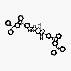 c1ccc(N(c2ccccc2)c2ccc3c(c2)c2ccccc2n3-c2ccc(C3NC4CC5NC(c6ccc(-n7c8ccccc8c8cc(N(c9ccccc9)c9ccccc9)ccc87)cc6)OC5NC4O3)cc2)cc1